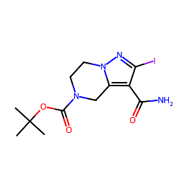 CC(C)(C)OC(=O)N1CCn2nc(I)c(C(N)=O)c2C1